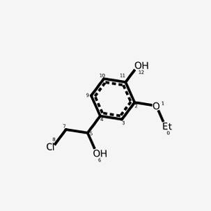 CCOc1cc(C(O)CCl)ccc1O